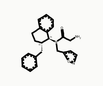 NCC(=O)N(Cc1ccno1)[C@@H]1c2ccccc2CC[C@H]1Cc1ccccc1